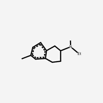 CCN(C)C1CCc2cc(C)ccc2C1